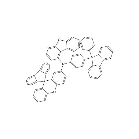 c1ccc(C2(c3ccc(N(c4ccc5c(c4)C4(c6ccccc6O5)c5ccccc5-c5ccccc54)c4cccc5oc6ccccc6c45)cc3)c3ccccc3-c3ccccc32)cc1